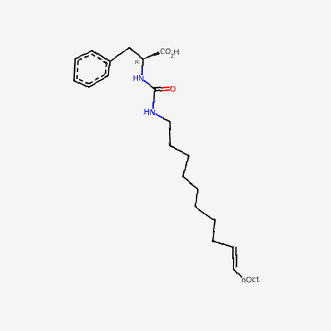 CCCCCCCCC=CCCCCCCCCNC(=O)N[C@@H](Cc1ccccc1)C(=O)O